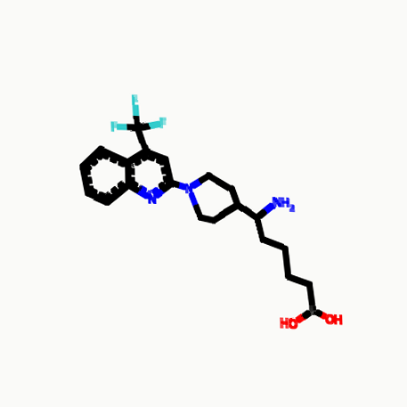 NC(CCCCB(O)O)C1CCN(c2cc(C(F)(F)F)c3ccccc3n2)CC1